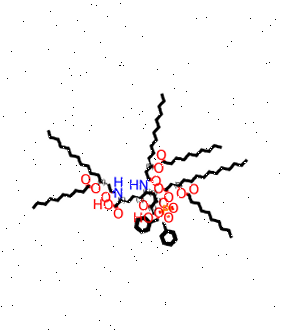 CCCCCCCCCCC[C@H](CC(=O)N[C@@H]1[C@@H](OC(=O)C[C@@H](CCCCCCCCCCC)OC(=O)CCCCCCCCC)[C@H](OP(=O)(OCc2ccccc2)OCc2ccccc2)[C@@H](CO)O[C@H]1CC[C@H](NC(=O)C[C@@H](CCCCCCCCCCC)OC(=O)CCCCCCCCC)C(=O)O)OC(=O)CCCCCCCCC